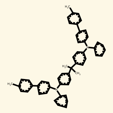 Cc1ccc(-c2ccc(N(c3ccccc3)c3ccc(C(C)(C)c4ccc(N(c5ccccc5)c5ccc(-c6ccc(C)cc6)cc5)cc4)cc3)cc2)cc1